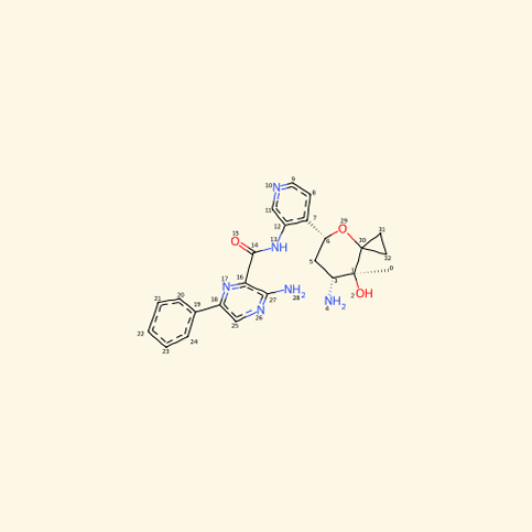 C[C@]1(O)[C@H](N)C[C@H](c2ccncc2NC(=O)c2nc(-c3ccccc3)cnc2N)OC12CC2